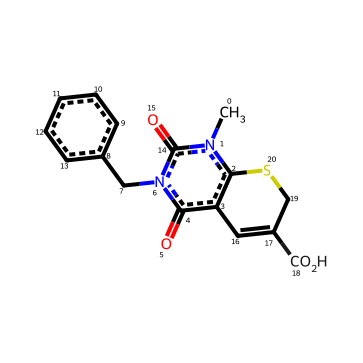 Cn1c2c(c(=O)n(Cc3ccccc3)c1=O)C=C(C(=O)O)CS2